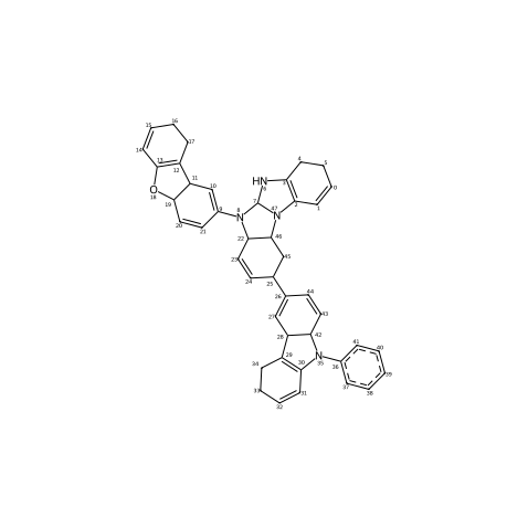 C1=CC2=C(CC1)NC1N(C3=CC4C5=C(C=CCC5)OC4C=C3)C3C=CC(C4=CC5C6=C(C=CCC6)N(c6ccccc6)C5C=C4)CC3N21